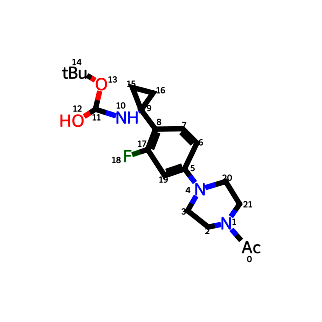 CC(=O)N1CCN(c2ccc(C3(NC(O)OC(C)(C)C)CC3)c(F)c2)CC1